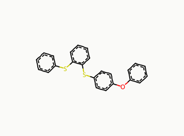 c1ccc(Oc2ccc(Sc3ccccc3Sc3ccccc3)cc2)cc1